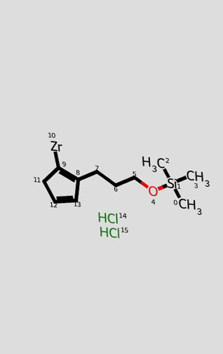 C[Si](C)(C)OCCCC1=[C]([Zr])CC=C1.Cl.Cl